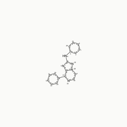 c1ccc(Nc2nc3c(-c4ccccc4)nccn3n2)cc1